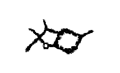 Cc1ccc2c(c1)C(C)C(C)(C)O2